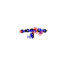 C[C@H]1CC[C@@H](CNc2ncc(S(=O)(=O)NC(=O)c3ccc(N4CCC5(CC4)CC(N4CCOCC4)C5)nc3Oc3cnc4[nH]ccc4c3)cc2[N+](=O)[O-])CC1